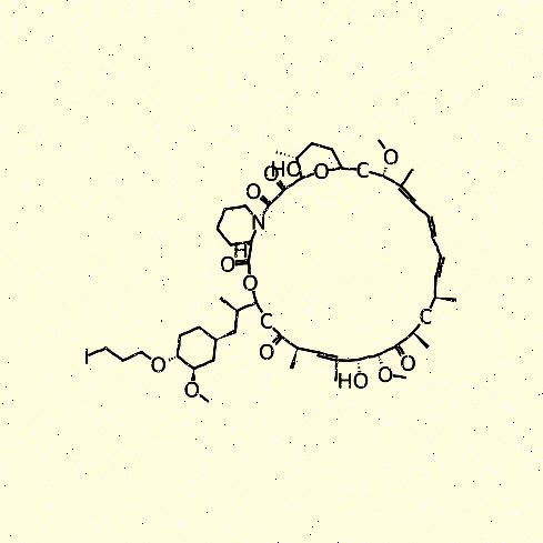 CO[C@H]1CC2CC[C@@H](C)[C@@](O)(O2)C(=O)C(=O)N2CCCC[C@H]2C(=O)OC([C@H](C)C[C@@H]2CC[C@@H](OCCCI)[C@H](OC)C2)CC(=O)[C@H](C)/C=C(\C)[C@@H](O)[C@@H](OC)C(=O)[C@H](C)C[C@H](C)/C=C/C=C/C=C/1C